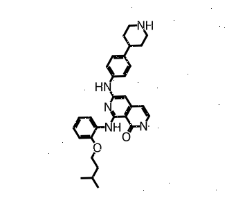 CC(C)CCOc1ccccc1Nc1nc(Nc2ccc(C3CCNCC3)cc2)cc2c1C(=O)[N]C=C2